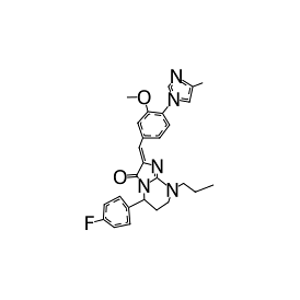 CCCN1CCC(c2ccc(F)cc2)N2C(=O)/C(=C/c3ccc(-n4cnc(C)c4)c(OC)c3)N=C12